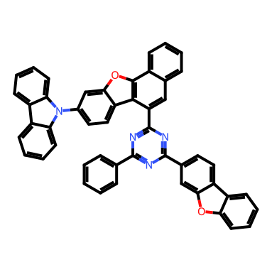 c1ccc(-c2nc(-c3ccc4c(c3)oc3ccccc34)nc(-c3cc4ccccc4c4oc5cc(-n6c7ccccc7c7ccccc76)ccc5c34)n2)cc1